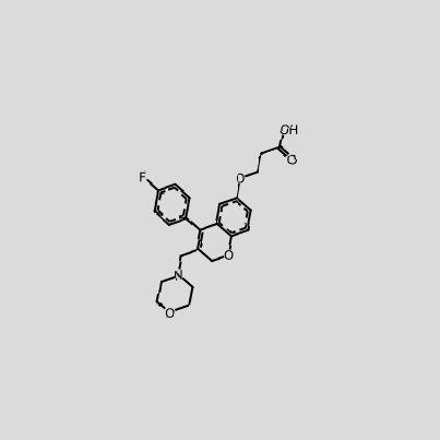 O=C(O)CCOc1ccc2c(c1)C(c1ccc(F)cc1)=C(CN1CCOCC1)CO2